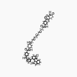 O=C1CCC(N2Cc3cc(NC(=O)CCOCCOCCOCCN[C@H]4CC[C@@H](NC(=O)c5ccc(Nc6ncc7c(n6)-c6ccc(Cl)cc6C(c6c(F)cccc6F)=NC7)cc5)CC4)ccc3C2=O)C(=O)N1